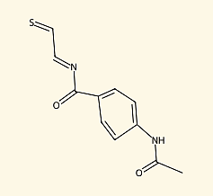 CC(=O)Nc1ccc(C(=O)N=CC=S)cc1